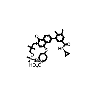 Cc1c(F)cc(C(=O)NC2CC2)cc1-c1ccc2c(=O)n(CC(C)(C)CO[Si](C)(C)C(C)(C)C)cc(SC3CCN(C(=O)O)CC3)c2c1